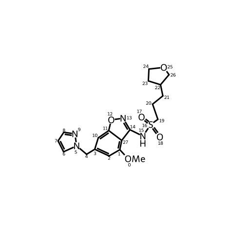 COc1cc(Cn2cccn2)cc2onc(NS(=O)(=O)CCCC3CCOC3)c12